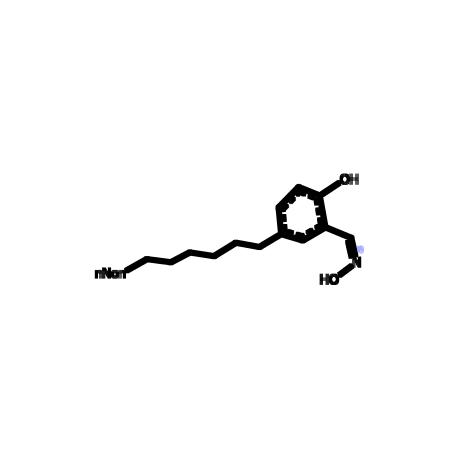 CCCCCCCCCCCCCCCc1ccc(O)c(/C=N\O)c1